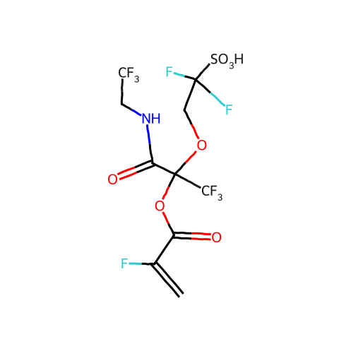 C=C(F)C(=O)OC(OCC(F)(F)S(=O)(=O)O)(C(=O)NCC(F)(F)F)C(F)(F)F